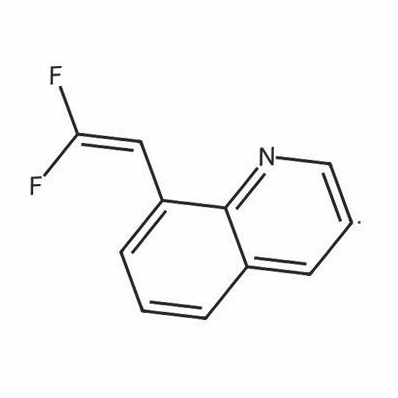 FC(F)=Cc1cccc2c[c]cnc12